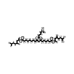 CC(C)CCC(C)CC(C)OC(=O)CCCCCCCC(CCCCCCCC(=O)OC(C)CC(C)CCC(C)C)OC(=O)CCCN(C)C